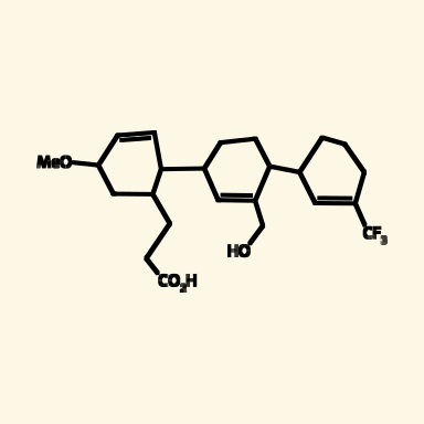 COC1C=CC(C2C=C(CO)C(C3C=C(C(F)(F)F)CCC3)CC2)C(CCC(=O)O)C1